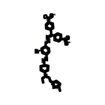 CCN(CC[n+]1ccn(C)c1)c1ccc(/N=N/c2ccc(/C=N/N=C(c3ccc([N+](=O)[O-])cc3)c3ccc([N+](=O)[O-])cc3)cc2)cc1.[Br-]